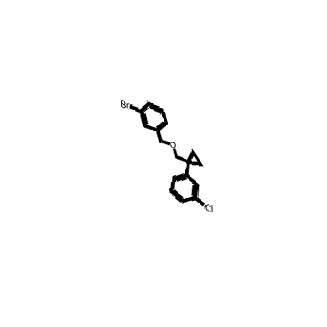 Clc1cccc(C2(COCc3cccc(Br)c3)CC2)c1